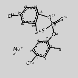 Cc1cc(Cl)ccc1OP(=S)([S-])Oc1ccc(Cl)cc1C.[Na+]